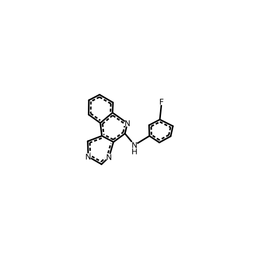 Fc1cccc(Nc2nc3ccccc3c3cncnc23)c1